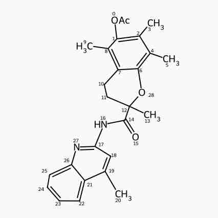 CC(=O)Oc1c(C)c(C)c2c(c1C)CCC(C)(C(=O)Nc1cc(C)c3ccccc3n1)O2